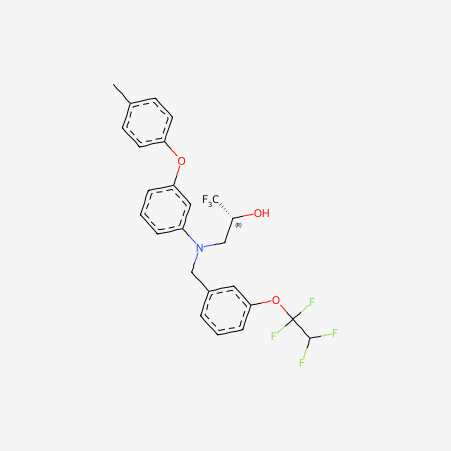 Cc1ccc(Oc2cccc(N(Cc3cccc(OC(F)(F)C(F)F)c3)C[C@@H](O)C(F)(F)F)c2)cc1